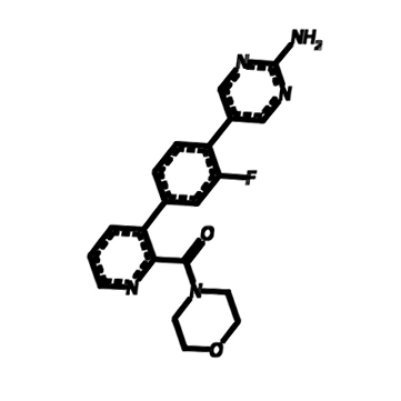 Nc1ncc(-c2ccc(-c3cccnc3C(=O)N3CCOCC3)cc2F)cn1